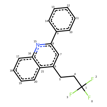 FC(F)(F)CCc1cc(-c2ccccc2)nc2ccccc12